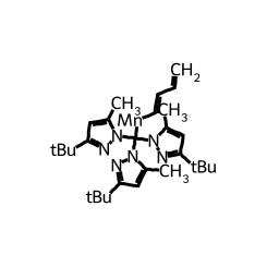 C=CC=[CH][Mn][C](n1nc(C(C)(C)C)cc1C)(n1nc(C(C)(C)C)cc1C)n1nc(C(C)(C)C)cc1C